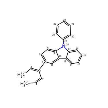 C/C=C\C(=C/C)c1ccc2c(c1)c1ccccc1n2-c1ccccc1